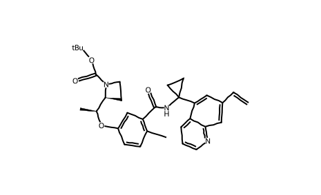 C=Cc1cc(C2(NC(=O)c3cc(O[C@@H](C)[C@@H]4CCN4C(=O)OC(C)(C)C)ccc3C)CC2)c2cccnc2c1